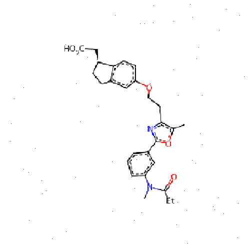 CCC(=O)N(C)c1cccc(-c2nc(CCOc3ccc4c(c3)CC[C@H]4CC(=O)O)c(C)o2)c1